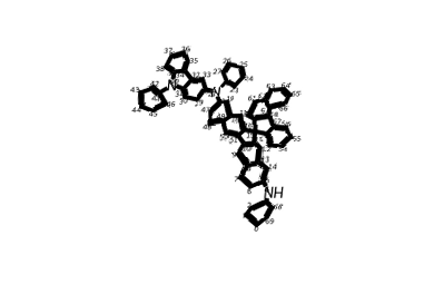 c1ccc(Nc2ccc3cc4c(cc3c2)C2(c3cc5cc(N(c6ccccc6)c6ccc7c(c6)c6ccccc6n7-c6ccccc6)ccc5cc3-4)c3ccccc3-c3c2ccc2ccccc32)cc1